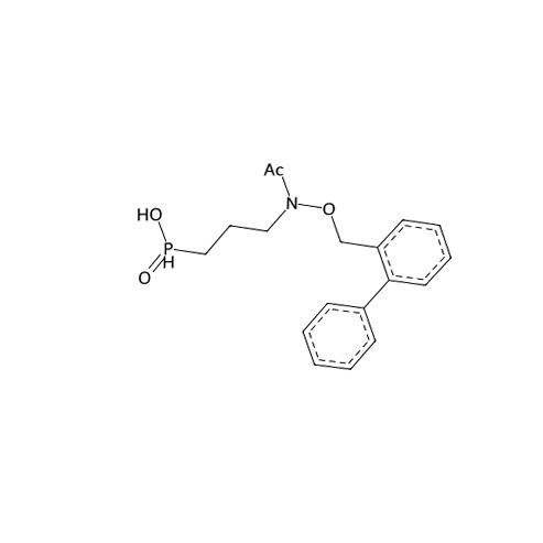 CC(=O)N(CCC[PH](=O)O)OCc1ccccc1-c1ccccc1